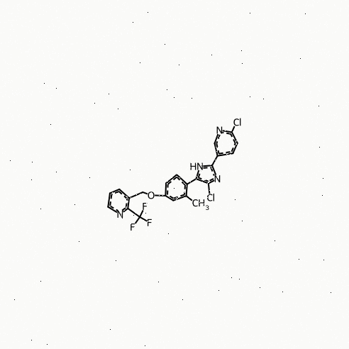 Cc1cc(OCc2cccnc2C(F)(F)F)ccc1-c1[nH]c(-c2ccc(Cl)nc2)nc1Cl